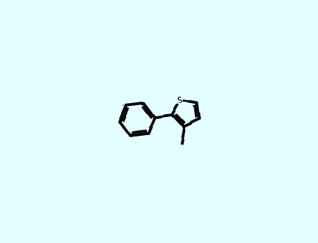 Cc1ccsc1-c1c[c]ccc1